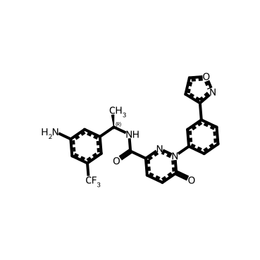 C[C@@H](NC(=O)c1ccc(=O)n(-c2cccc(-c3ccon3)c2)n1)c1cc(N)cc(C(F)(F)F)c1